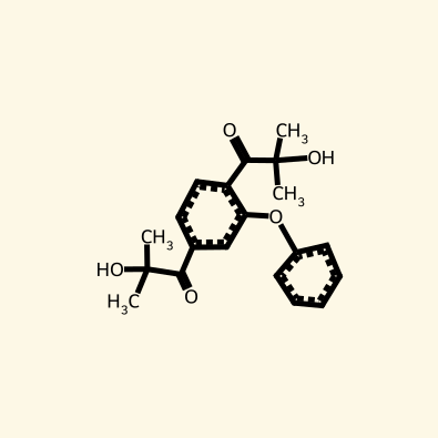 CC(C)(O)C(=O)c1ccc(C(=O)C(C)(C)O)c(Oc2ccccc2)c1